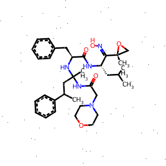 CC(C)C[C@H](NC(=O)[C@H](Cc1ccccc1)NC(C)(CC(C)c1ccccc1)NC(=O)CN1CCOCC1)/C(=N\O)[C@@]1(C)CO1